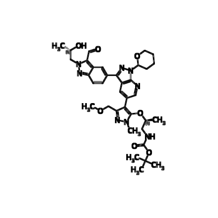 COCc1nn(C)c(O[C@@H](C)CNC(=O)OC(C)(C)C)c1-c1cnc2c(c1)c(-c1ccc3nn(C[C@H](C)O)c(C=O)c3c1)nn2C1CCCCO1